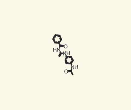 C=C(NC(=O)c1ccccc1)Nc1ccc(NC(C)=O)cc1